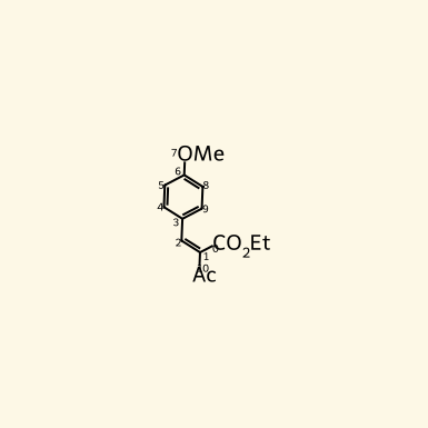 CCOC(=O)/C(=C\c1ccc(OC)cc1)C(C)=O